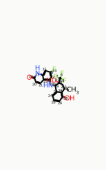 C[C@H]1C[C@@](O)(C(F)(F)F)[C@H](Nc2cc(F)cc3[nH]c(=O)ccc23)c2cccc(O)c21